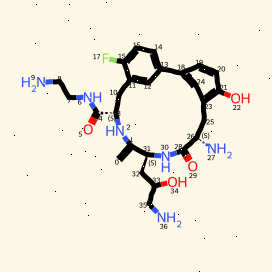 C=C1N[C@H](C(=O)NCCN)Cc2cc(ccc2F)-c2ccc(O)c(c2)C[C@H](N)C(=O)N[C@H]1CC(O)CN